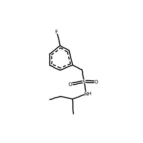 CCC(C)NS(=O)(=O)Cc1cccc(F)c1